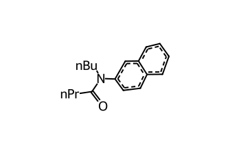 CCCCN(C(=O)CCC)c1ccc2ccccc2c1